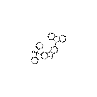 O=P(c1ccccc1)(c1ccccc1)c1ccc2oc3ccc(C4c5ccccc5-c5ccccc54)cc3c2c1